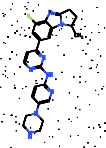 CC1CCc2nc3c(F)cc(-c4ccnc(Nc5ccc(N6CCNCC6)cn5)n4)cc3n21